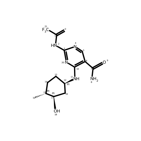 C=C(Nc1ncc(C(N)=O)c(N[C@@H]2CC[C@@H](C)[C@H](O)C2)n1)C(F)(F)F